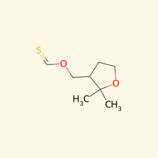 CC1(C)OCCC1COC=S